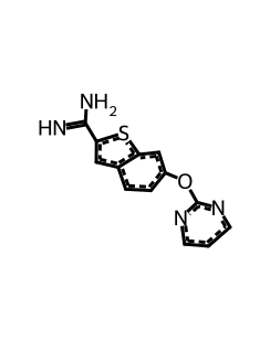 N=C(N)c1cc2ccc(Oc3ncccn3)cc2s1